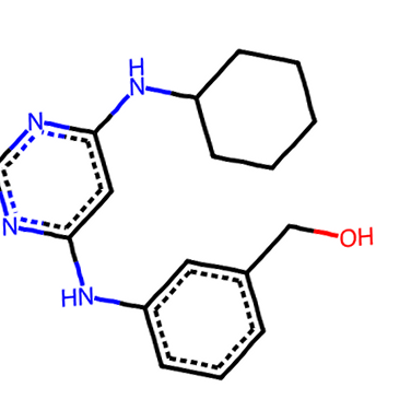 OCc1cccc(Nc2cc(NC3CCCCC3)ncn2)c1